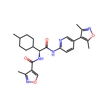 Cc1nocc1C(=O)N[C@H](C(=O)Nc1ccc(-c2c(C)noc2C)cn1)C1CCC(C)CC1